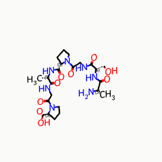 C[C@H](N)C(=O)N[C@@H](CO)C(=O)NCC(=O)N1CCC[C@H]1C(=O)N[C@@H](C)C(=O)NCC(=O)N1CCC[C@H]1C(=O)O